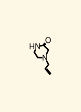 C=CCN1CCNC(=O)C1